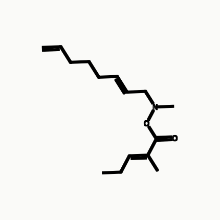 C=CCCCC=CCN(C)OC(=O)C(C)=CCC